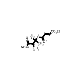 CCOC(=O)/C=C/C(=O)OC(C)(C)C(C)C(=O)OC(C)=O